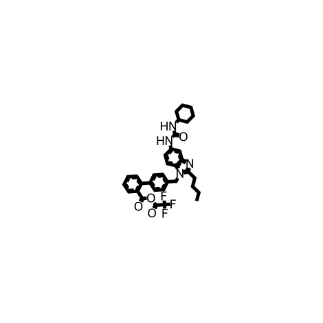 CCCCc1nc2cc(NC(=O)NC3CCCCC3)ccc2n1Cc1ccc(-c2ccccc2C(=O)OC(=O)C(F)(F)F)cc1